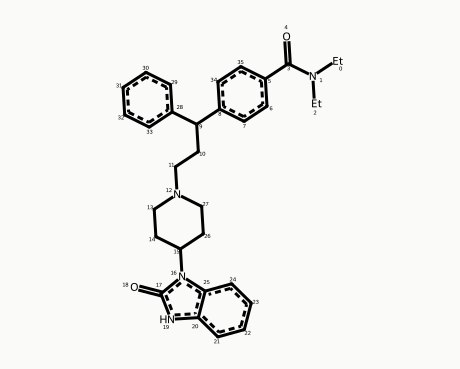 CCN(CC)C(=O)c1ccc(C(CCN2CCC(n3c(=O)[nH]c4ccccc43)CC2)c2ccccc2)cc1